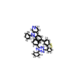 c1ccc(-c2nc(-c3ccccc3)nc(-c3cccc4sc5ccc(-c6ccc7c(c6)c6ccncc6n7-c6ccccc6)cc5c34)n2)cc1